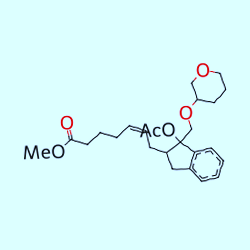 COC(=O)CCC/C=C\CC1Cc2ccccc2C1(COC1CCCOC1)OC(C)=O